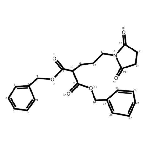 O=C(OCc1ccccc1)C(CCCN1C(=O)CCC1=O)C(=O)OCc1ccccc1